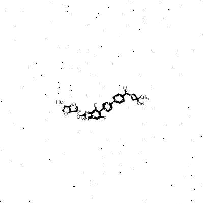 CC1(O)CN(C(=O)c2ccc(-c3ccc(-c4c(F)cc5[nH]c(O[C@H]6COC7C6OC[C@@H]7O)nc5c4F)cc3)cc2)C1